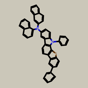 c1ccc(-c2ccc3sc4c(ccc5c6cc(N(c7ccc8ccccc8c7)c7cccc8ccccc78)ccc6n(-c6ccccc6)c54)c3c2)cc1